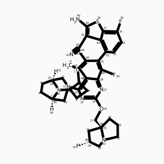 COC1CCC1N1[C@@H]2CC[C@H]1CN(c1nc(OC[C@@]34CCCN3C[C@H](F)C4)nc3c(F)c(-c4ccc(F)c5sc(N)c(C#N)c45)c(Cl)cc13)C2